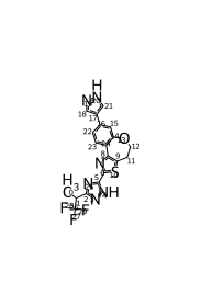 CC(c1n[nH]c(-c2nc3c(s2)CCOc2cc(-c4cn[nH]c4)ccc2-3)n1)C(F)(F)F